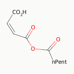 CCCCCC(=O)OC(=O)/C=C\C(=O)O